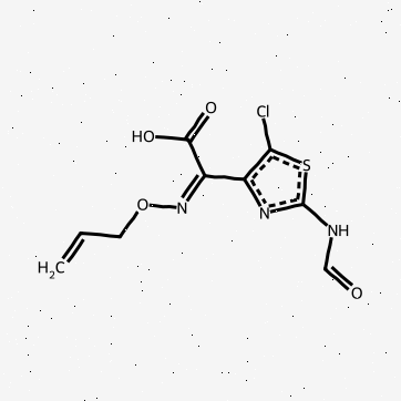 C=CCON=C(C(=O)O)c1nc(NC=O)sc1Cl